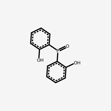 O=[P](c1ccccc1O)c1ccccc1O